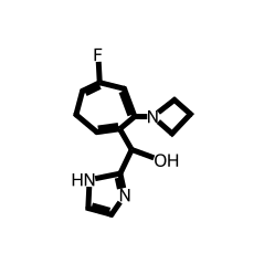 OC(C1=CCC=C(F)C=C1N1CCC1)c1ncc[nH]1